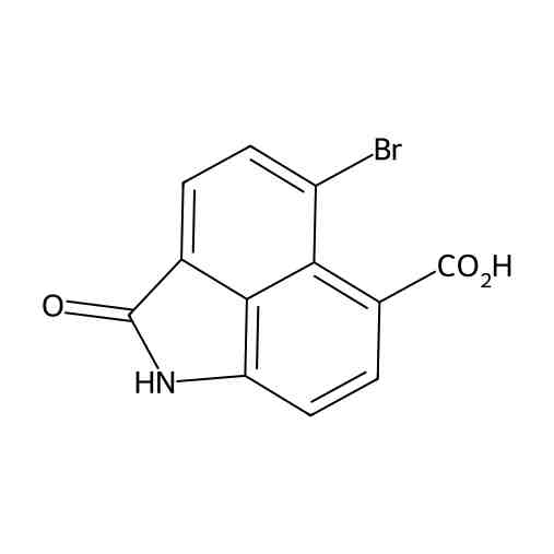 O=C(O)c1ccc2c3c(ccc(Br)c13)C(=O)N2